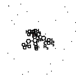 CC(C)(C)c1ccc2c(c1)[CH]([Zr+2][C]1=CC=CC1=C(c1cccc(C(Cl)(Cl)Cl)c1)c1cccc(C(Cl)(Cl)Cl)c1)c1cc(C(C)(C)C)ccc1-2.[Cl-].[Cl-]